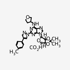 Cc1ccc(-c2cnn(-c3nc(NC4CCOC4)c4ncn([C@@H]5O[C@H](C(=O)O)[C@@H]6OC(C)(C)O[C@H]65)c4n3)c2)cc1